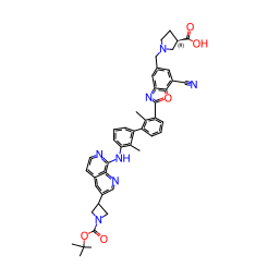 Cc1c(Nc2nccc3cc(C4CN(C(=O)OC(C)(C)C)C4)cnc23)cccc1-c1cccc(-c2nc3cc(CN4CC[C@@H](C(=O)O)C4)cc(C#N)c3o2)c1C